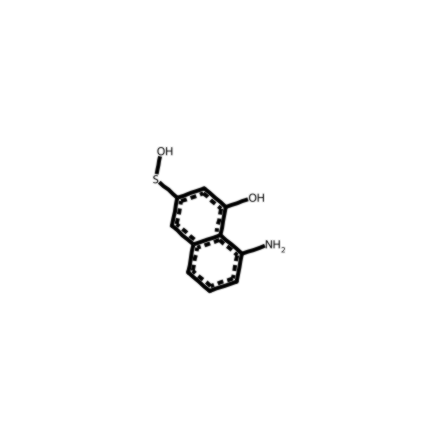 Nc1cccc2cc(SO)cc(O)c12